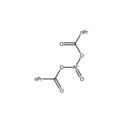 CCCC(=O)O[N+](=O)OC(=O)CCC